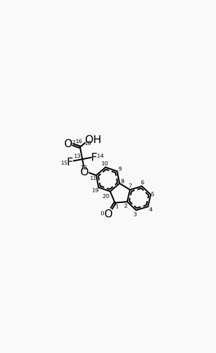 O=C1c2ccccc2-c2ccc(OC(F)(F)C(=O)O)cc21